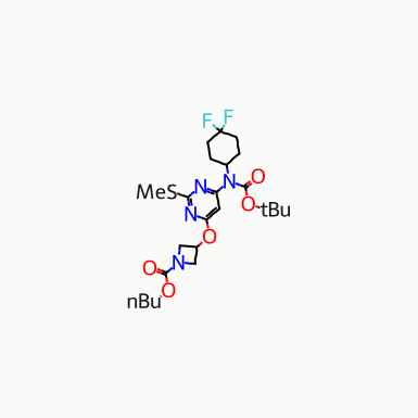 CCCCOC(=O)N1CC(Oc2cc(N(C(=O)OC(C)(C)C)C3CCC(F)(F)CC3)nc(SC)n2)C1